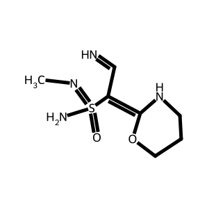 CN=S(N)(=O)/C(C=N)=C1/NCCCO1